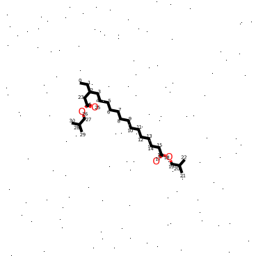 CCC(CCCCCCCCCCCCCC(=O)OCC(C)C)CC(=O)OCC(C)C